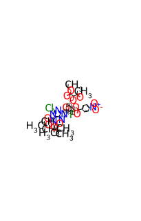 CCOC(=O)C(OC[C@H]1O[C@@H](n2cnc3c(N(C(=O)OC(C)(C)C)C(=O)OC(C)(C)C)nc(Cl)nc32)[C@@H](F)[C@H]1OC(=O)c1ccc([N+](=O)[O-])cc1)C(C)=O